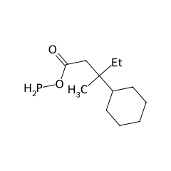 CCC(C)(CC(=O)OP)C1CCCCC1